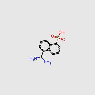 NC(N)c1cccc2c(S(=O)(=O)O)cccc12